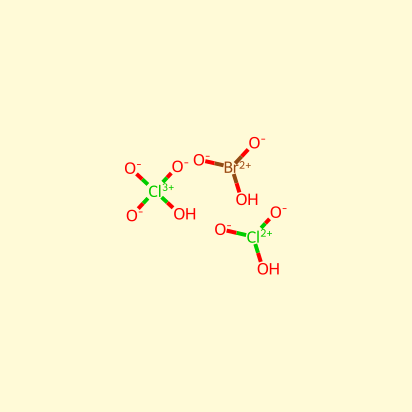 [O-][Br+2]([O-])O.[O-][Cl+2]([O-])O.[O-][Cl+3]([O-])([O-])O